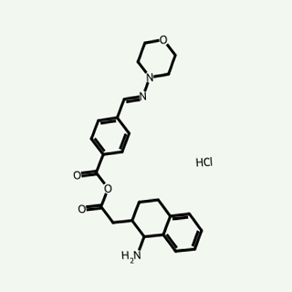 Cl.NC1c2ccccc2CCC1CC(=O)OC(=O)c1ccc(C=NN2CCOCC2)cc1